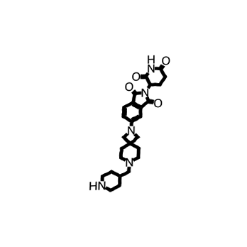 O=C1CCC(N2C(=O)c3ccc(N4CC5(CCN(CC6CCNCC6)CC5)C4)cc3C2=O)C(=O)N1